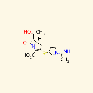 CC(=N)N1CC[C@H](SC2=C(C(=O)O)N3C(=O)[C@H]([C@@H](C)O)[C@H]3C2)C1